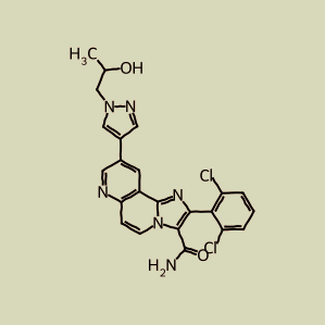 CC(O)Cn1cc(-c2cnc3ccn4c(C(N)=O)c(-c5c(Cl)cccc5Cl)nc4c3c2)cn1